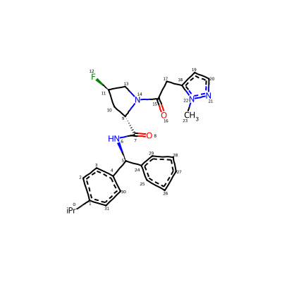 CC(C)c1ccc([C@@H](NC(=O)[C@@H]2C[C@@H](F)CN2C(=O)Cc2ccnn2C)c2ccccc2)cc1